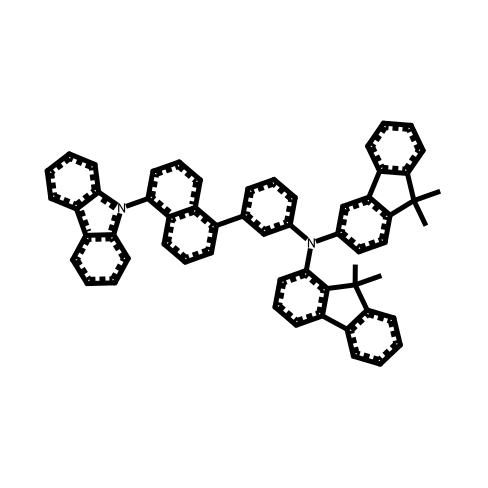 CC1(C)c2ccccc2-c2cc(N(c3cccc(-c4cccc5c(-n6c7ccccc7c7ccccc76)cccc45)c3)c3cccc4c3C(C)(C)c3ccccc3-4)ccc21